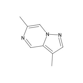 Cc1cn2ncc(C)c2cn1